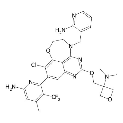 Cc1cc(N)nc(-c2cc3nc(OCC4(N(C)C)COC4)nc4c3c(c2Cl)OCCN4Cc2cccnc2N)c1C(F)(F)F